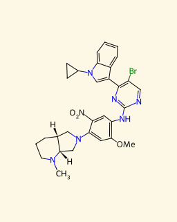 COc1cc(N2C[C@H]3CCCN(C)[C@H]3C2)c([N+](=O)[O-])cc1Nc1ncc(Br)c(-c2cn(C3CC3)c3ccccc23)n1